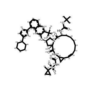 CC(C)(C)OC(=O)N[C@H]1CCCCC/C=C\C2C[C@@]2(C(=O)NS(=O)(=O)C2(C)CC2)NC(=O)[C@@H]2C[C@@H](Oc3nc4c(-c5nc(C6CCCCC6)cs5)cccc4nc3C(F)(F)F)CN2C1=O